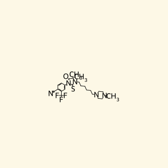 CN1CCN(CCCCCCN2C(=S)N(c3ccc(C#N)c(C(F)(F)F)c3)C(=O)C2(C)C)CC1